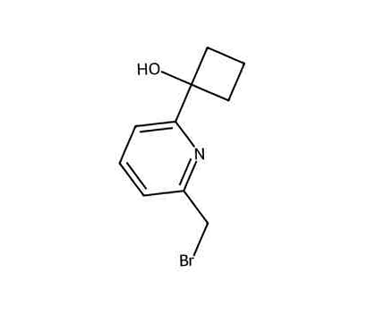 OC1(c2cccc(CBr)n2)CCC1